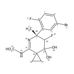 C[C@]1(c2cc(Br)ccc2F)N=C(NC(=O)O)C2(CC2)S(O)(O)C1F